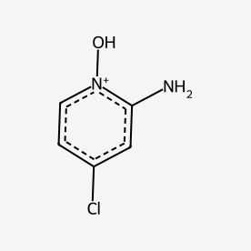 Nc1cc(Cl)cc[n+]1O